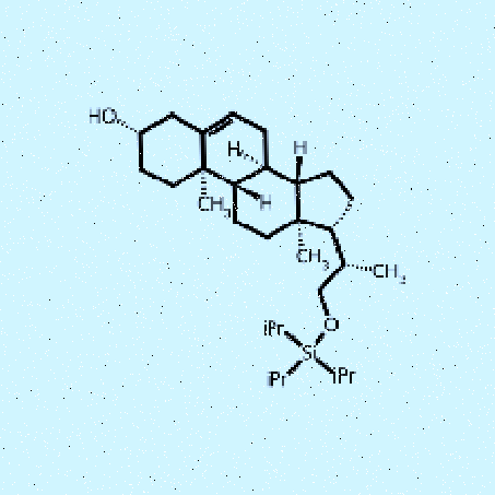 CC(C)[Si](OC[C@@H](C)[C@H]1CC[C@H]2[C@@H]3CC=C4C[C@@H](O)CC[C@]4(C)[C@H]3CC[C@]12C)(C(C)C)C(C)C